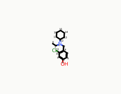 CCN(Cc1ccc(O)cc1Cl)C1CCCCC1